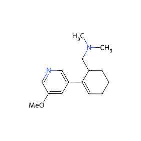 COc1cncc(C2=CCCCC2CN(C)C)c1